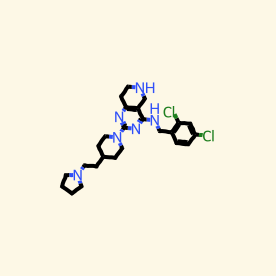 Clc1ccc(CNc2nc(N3CCC(CCN4CCCC4)CC3)nc3c2CNCC3)c(Cl)c1